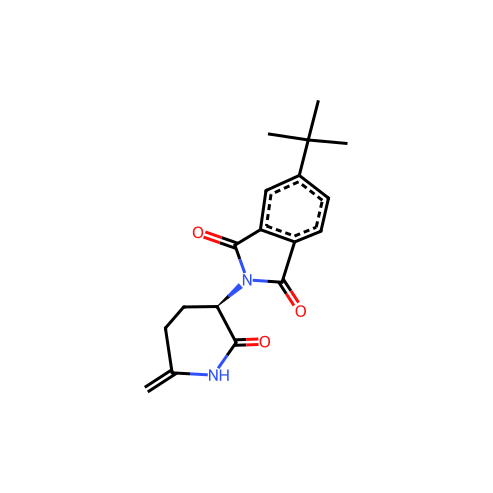 C=C1CC[C@@H](N2C(=O)c3ccc(C(C)(C)C)cc3C2=O)C(=O)N1